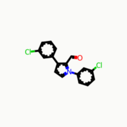 O=Cc1c(-c2cccc(Cl)c2)ccn1-c1cccc(Cl)c1